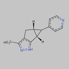 O=C(O)c1n[nH]c2c1C[C@@H]1C(c3ccncc3)[C@H]21